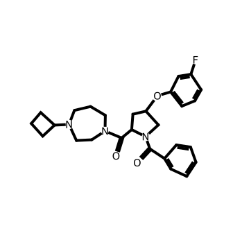 O=C(C1CC(Oc2cccc(F)c2)CN1C(=O)c1ccccc1)N1CCCN(C2CCC2)CC1